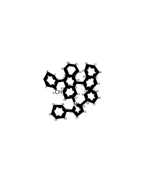 Cc1ccccc1-c1c2c(c(-c3cccc4ccccc34)c3cc(-n4c(-c5ccccc5)ccc4-c4ccccc4)ccc13)=CCCC=2